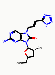 CC(=O)OC[C@@H]1C[C@@H](OC(C)=O)[C@H](n2c(=O)n(C/C=C/c3nnn[nH]3)c3cnc(N)nc32)O1